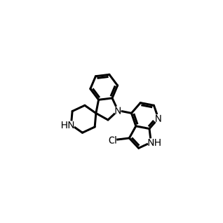 Clc1c[nH]c2nccc(N3CC4(CCNCC4)c4ccccc43)c12